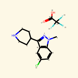 Cn1nc(C2CCNCC2)c2cc(Cl)ccc21.O=C(O)C(F)(F)F